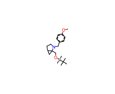 COc1ccc(CN2CCC3CC32CO[Si](C)(C)C(C)(C)C)cc1